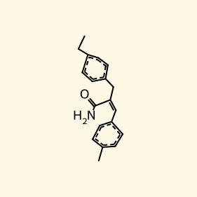 CCc1ccc(CC(=Cc2ccc(C)cc2)C(N)=O)cc1